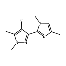 Cc1cn(C)c(-c2nn(C)c(C)c2Cl)n1